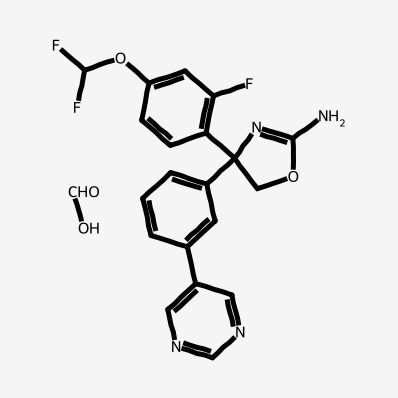 NC1=NC(c2cccc(-c3cncnc3)c2)(c2ccc(OC(F)F)cc2F)CO1.O=CO